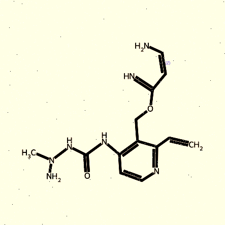 C=Cc1nccc(NC(=O)NN(C)N)c1COC(=N)/C=C\N